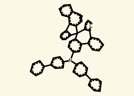 c1ccc(-c2ccc(N(c3ccc(-c4ccccc4)cc3)c3ccc4c(c3)-c3ccccc3-c3ccccc3C43c4ccccc4-c4c3c3ccccc3c3ccccc43)cc2)cc1